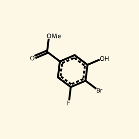 COC(=O)c1cc(O)c(Br)c(F)c1